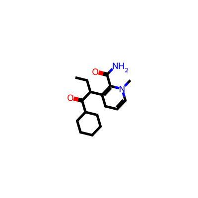 CCC(C(=O)C1CCCCC1)C1=C(C(N)=O)N(C)C=CC1